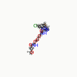 Cc1ccoc1-c1ccc(C(=O)NCCOCCOCCOCCNC(=O)C[C@@H]2N=C(c3ccc(Cl)cc3)c3c(sc(C)c3C)-n3c(C)nnc32)cc1